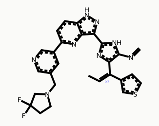 C=Nc1[nH]c(-c2n[nH]c3ccc(-c4cncc(CN5CCC(F)(F)C5)c4)nc23)nc1/C(=C\C)c1ccsc1